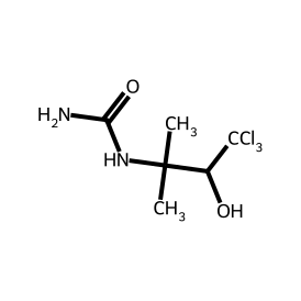 CC(C)(NC(N)=O)C(O)C(Cl)(Cl)Cl